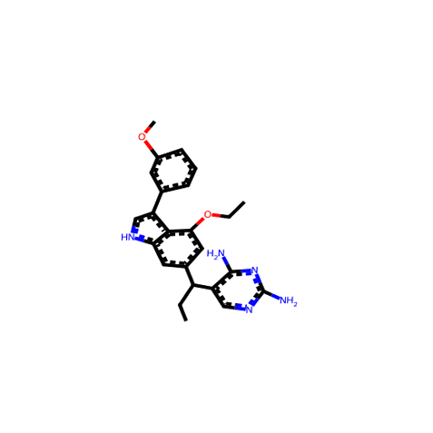 CCOc1cc(C(CC)c2cnc(N)nc2N)cc2[nH]cc(-c3cccc(OC)c3)c12